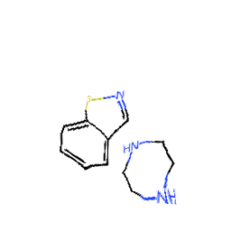 C1CNCCN1.c1ccc2sncc2c1